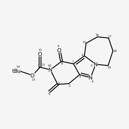 C=C1Cc2nn3c(c2C(=O)N1C(=O)OC(C)(C)C)CCCCC3